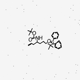 C=CCC(CCCO[Si](c1ccccc1)(c1ccccc1)C(C)(C)C)NC(=O)OC(C)(C)C